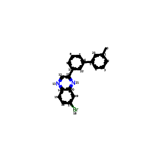 Cc1cccc(-c2cccc(-c3cnc4ccc(Br)cc4n3)c2)c1